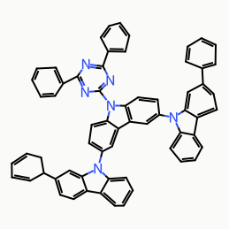 C1=CCC(c2ccc3c4ccccc4n(-c4ccc5c(c4)c4cc(-n6c7ccccc7c7ccc(-c8ccccc8)cc76)ccc4n5-c4nc(-c5ccccc5)nc(-c5ccccc5)n4)c3c2)C=C1